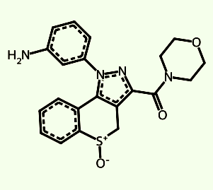 Nc1cccc(-n2nc(C(=O)N3CCOCC3)c3c2-c2ccccc2[S+]([O-])C3)c1